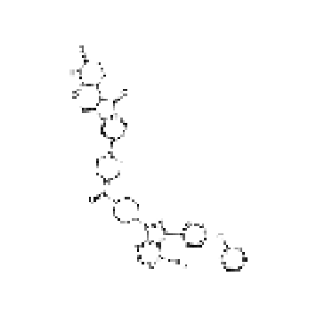 Nc1ncnc2c1c(-c1ccc(Oc3ccccc3)cc1)nn2C1CCN(C(=O)N2CCN(c3ccc4c(c3)C(=O)N(C3CCC(=O)NC3=O)C4=O)CC2)CC1